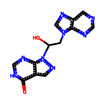 O=c1[nH]cnc2c1cnn2C(O)Cn1cnc2cncnc21